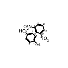 CCc1ccc(O)cc1.O=[N+]([O-])c1cccc([N+](=O)[O-])c1